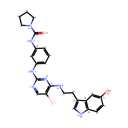 Bc1cnc(Nc2cccc(NC(=O)N3CCCC3)c2)nc1NCCc1c[nH]c2ccc(O)cc12